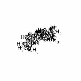 CO[C@H]1OC(CO)[C@@H](O[C@@H]2OC[C@@H](O[C@H]3OC(CO)[C@@H](O[C@@H]4OC(C(=O)O)[C@@H](O[C@H]5OC(CO)[C@@H](C)[C@H](C)C5N=[N+]=[N-])[C@H](C)C4C)[C@H](O)C3N=[N+]=[N-])C(C)C2O)[C@H](C)C1C